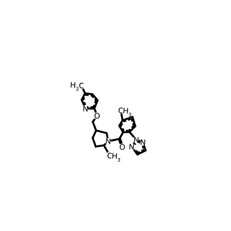 Cc1ccc(OCC2CCC(C)N(C(=O)c3cc(C)ccc3-n3nccn3)C2)nc1